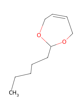 CCCCCC1OCC=CCO1